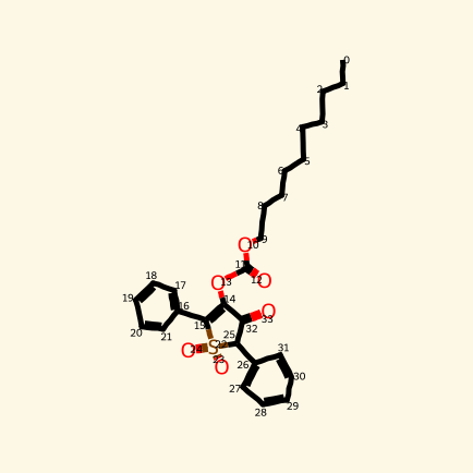 CCCCCCCCCCOC(=O)OC1=C(c2ccccc2)S(=O)(=O)C(c2ccccc2)C1=O